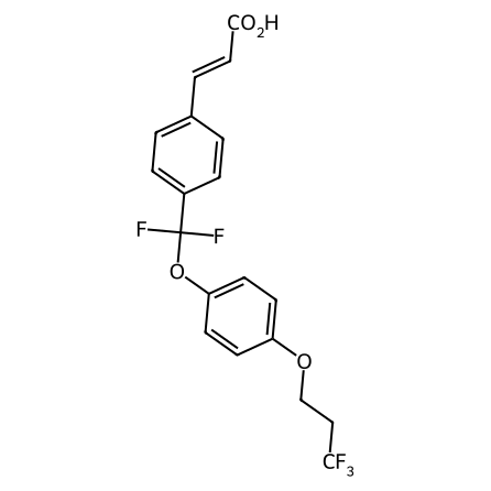 O=C(O)/C=C/c1ccc(C(F)(F)Oc2ccc(OCCC(F)(F)F)cc2)cc1